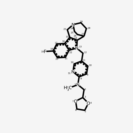 CN(CC1OCCO1)c1ccc(Cn2c3c(c4cc(F)ccc42)CN2CCC3CC2)cn1